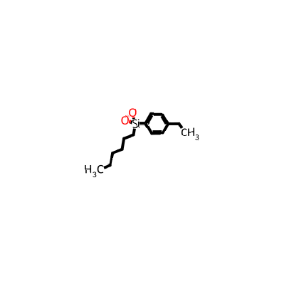 CCCCCC[Si]1(c2ccc(CC)cc2)OO1